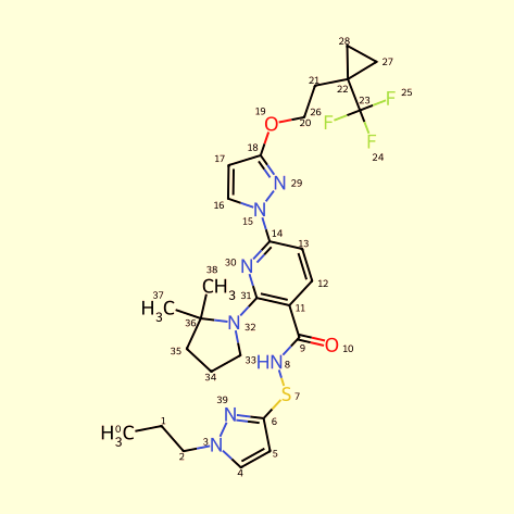 CCCn1ccc(SNC(=O)c2ccc(-n3ccc(OCCC4(C(F)(F)F)CC4)n3)nc2N2CCCC2(C)C)n1